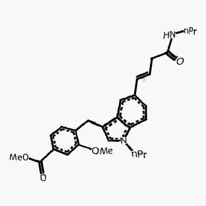 CCCNC(=O)C/C=C/c1ccc2c(c1)c(Cc1ccc(C(=O)OC)cc1OC)cn2CCC